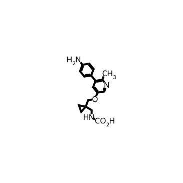 Cc1ncc(OCC2(CNC(=O)O)CC2)cc1-c1ccc(N)cc1